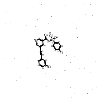 CS(=O)(=NC(=O)c1cncc(C#Cc2cccc(Cl)c2)c1)c1ccc(Cl)cc1